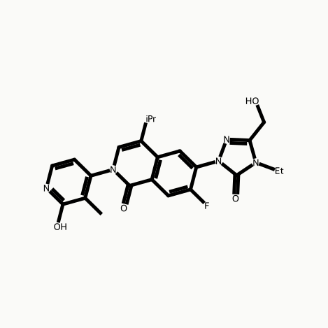 CCn1c(CO)nn(-c2cc3c(C(C)C)cn(-c4ccnc(O)c4C)c(=O)c3cc2F)c1=O